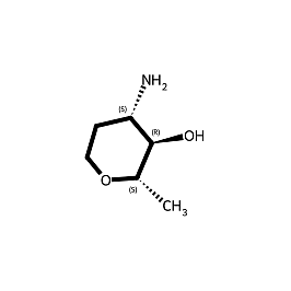 C[C@@H]1OCC[C@H](N)[C@H]1O